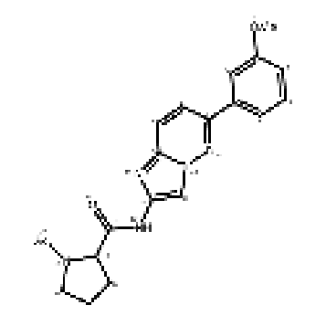 COc1cccc(-c2ccc3nc(NC(=O)C4CCCN4C(C)=O)cn3n2)c1